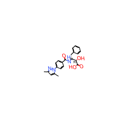 Cc1cc(C)n(-c2ccc(C(=O)N[C@H](Cc3ccccc3)[C@@H](O)C(=O)O)cc2)n1